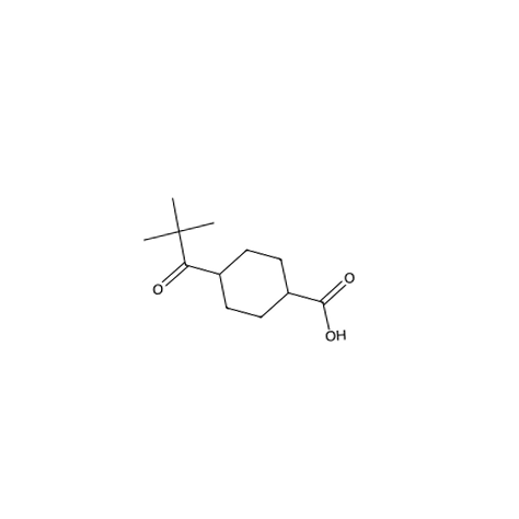 CC(C)(C)C(=O)C1CCC(C(=O)O)CC1